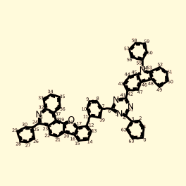 c1ccc(-c2nc(-c3cccc(-c4cccc5c4oc4c5ccc5c(-c6ccccc6)nc6ccccc6c54)c3)nc(-c3ccc4c(c3)c3ccccc3n4-c3ccccc3)n2)cc1